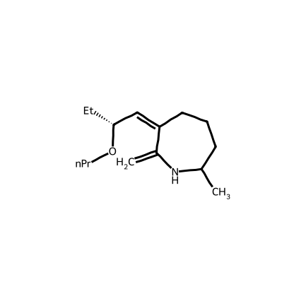 C=C1NC(C)CCC/C1=C/[C@@H](CC)OCCC